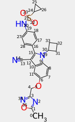 Cc1nc(COc2ccc3c(c2)c(C#N)c(-c2ccc(NS(=O)(=O)C4CC4)cc2)n3C2CCC2)no1